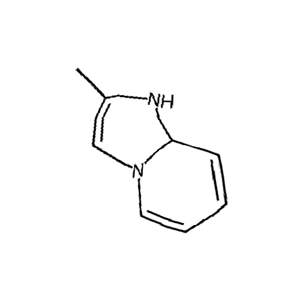 CC1=CN2C=CC=CC2N1